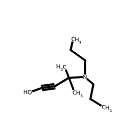 CCCN(CCC)C(C)(C)C#CO